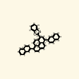 c1ccc2cc(-c3ccc4ccc5c(-c6ccc7ccccc7c6)cc(-c6nc7ccccc7o6)c6ccc3c4c56)ccc2c1